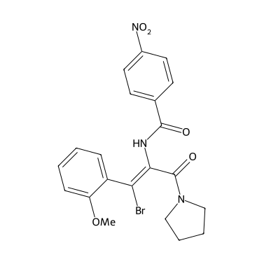 COc1ccccc1C(Br)=C(NC(=O)c1ccc([N+](=O)[O-])cc1)C(=O)N1CCCC1